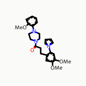 COc1cc(CCC(=O)N2CCN(c3ccccc3OC)CC2)c(-n2cccc2)cc1OC